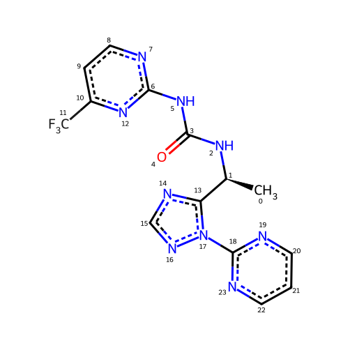 C[C@H](NC(=O)Nc1nccc(C(F)(F)F)n1)c1ncnn1-c1ncccn1